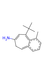 Cc1cccc2c1=C(C(C)(C)C)C=C(N)CC=2